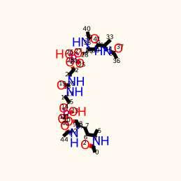 CC(=O)NC(C)CC[C@H](COP(=O)(O)OCCNC(=O)NCCOP(=O)(O)OC[C@@H](CCC(C)NC(C)=O)NC(C)=O)NC(C)=O